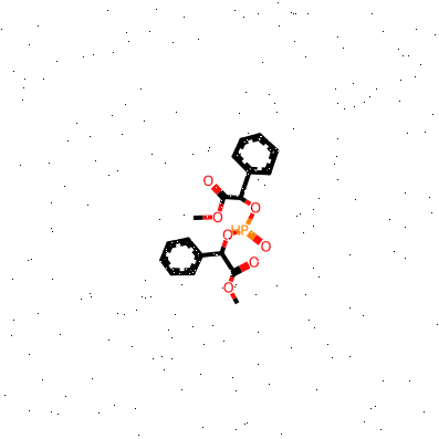 COC(=O)C(O[PH](=O)OC(C(=O)OC)c1ccccc1)c1ccccc1